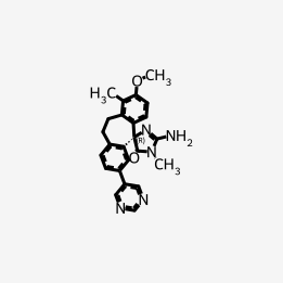 COc1ccc2c(c1C)CCc1ccc(-c3cncnc3)cc1[C@@]21N=C(N)N(C)C1=O